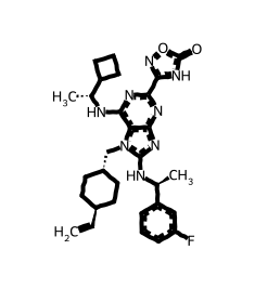 C=C[C@H]1CC[C@H](Cn2c(N[C@@H](C)c3cccc(F)c3)nc3nc(-c4noc(=O)[nH]4)nc(N[C@H](C)C4CCC4)c32)CC1